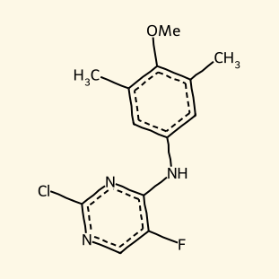 COc1c(C)cc(Nc2nc(Cl)ncc2F)cc1C